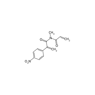 C=CC(=O)N(C)C(=O)C(=C)c1ccc([N+](=O)[O-])cc1